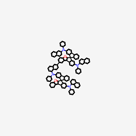 c1ccc(N(c2ccc3c(c2)C2(c4ccccc4-3)c3cc(N(c4ccccc4)c4ccc5ccccc5c4)ccc3-c3c2oc2ccc(-c4ccc5c(N(c6ccccc6)c6ccc7c(c6)C6(c8ccccc8-7)c7cc(N(c8ccccc8)c8cccc9ccccc89)ccc7-c7c6oc6ccccc76)cccc5c4)cc32)c2ccc3ccccc3c2)cc1